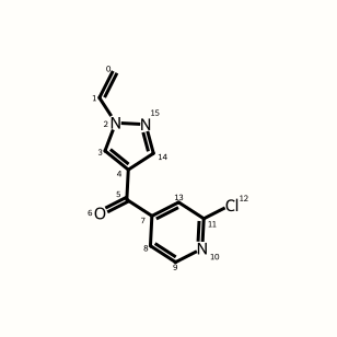 C=Cn1cc(C(=O)c2ccnc(Cl)c2)cn1